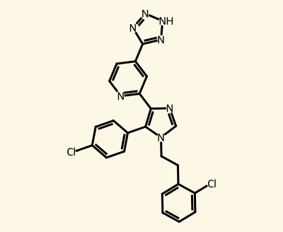 Clc1ccc(-c2c(-c3cc(-c4nn[nH]n4)ccn3)ncn2CCc2ccccc2Cl)cc1